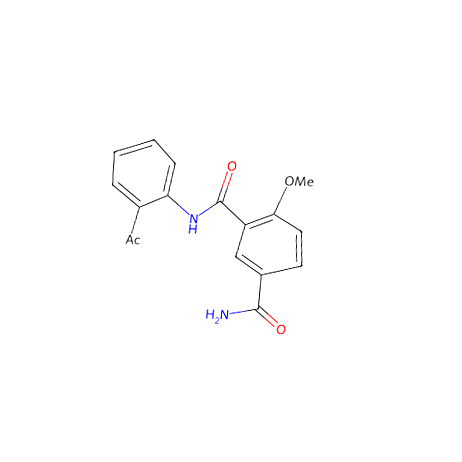 COc1ccc(C(N)=O)cc1C(=O)Nc1ccccc1C(C)=O